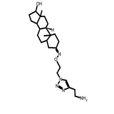 CC12CC[C@H]3C(CCC4CC(=NOCCn5cc(CCN)nn5)CCC43C)C1CCC2O